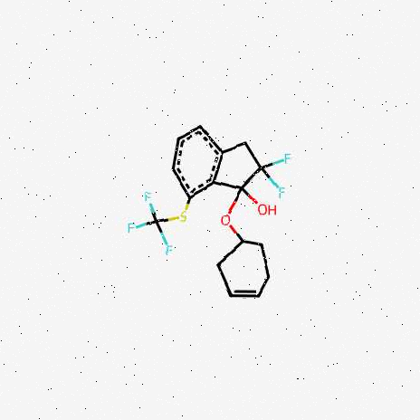 OC1(OC2CC=CCC2)c2c(cccc2SC(F)(F)F)CC1(F)F